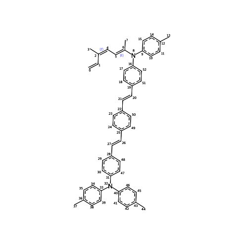 C=C/C(C)=C\C=C(/C)N(c1ccc(C)cc1)c1ccc(C=Cc2ccc(C=Cc3ccc(N(c4ccc(C)cc4)c4ccc(C)cc4)cc3)cc2)cc1